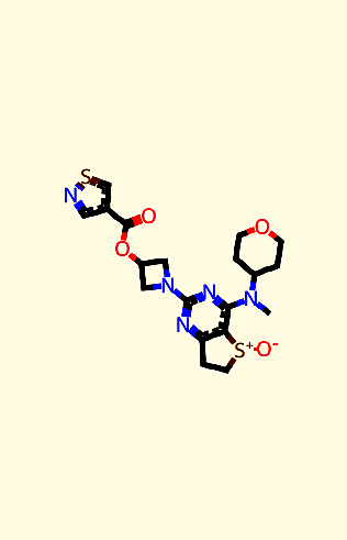 CN(c1nc(N2CC(OC(=O)c3cnsc3)C2)nc2c1[S@+]([O-])CC2)C1CCOCC1